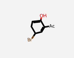 CC(=O)C1=CC(Br)CC=C1O